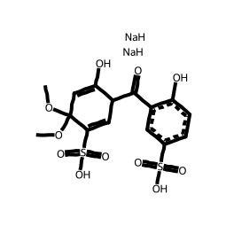 COC1(OC)C=C(O)C(C(=O)c2cc(S(=O)(=O)O)ccc2O)C=C1S(=O)(=O)O.[NaH].[NaH]